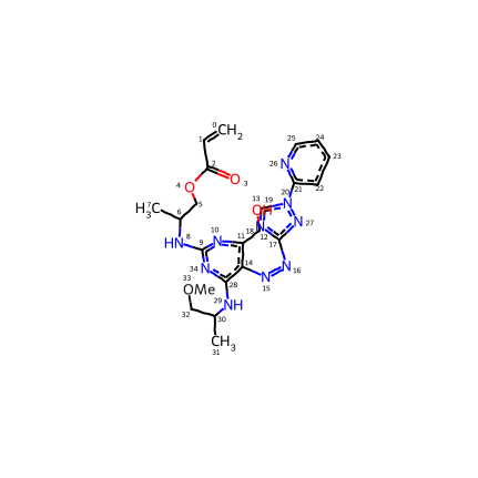 C=CC(=O)OCC(C)Nc1nc(CO)c(/N=N\c2ncn(-c3ccccn3)n2)c(NC(C)COC)n1